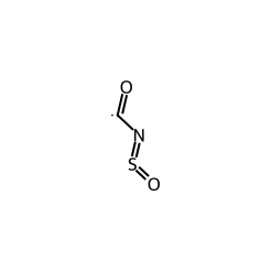 O=[C]N=S=O